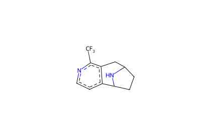 FC(F)(F)c1nccc2c1CC1CCC2N1